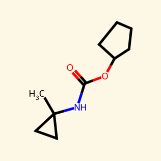 CC1(NC(=O)OC2CCCC2)CC1